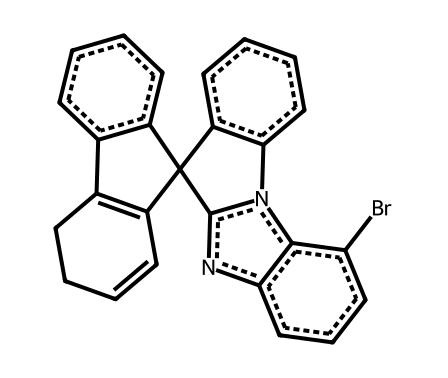 Brc1cccc2nc3n(c12)-c1ccccc1C31C2=C(CCC=C2)c2ccccc21